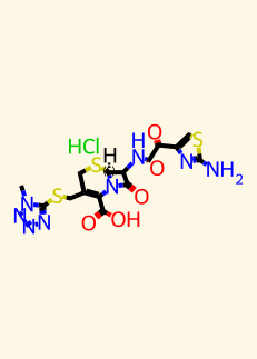 Cl.Cn1nnnc1SCC1=C(C(=O)O)N2C(=O)C(NC(=O)C(=O)c3csc(N)n3)[C@@H]2SC1